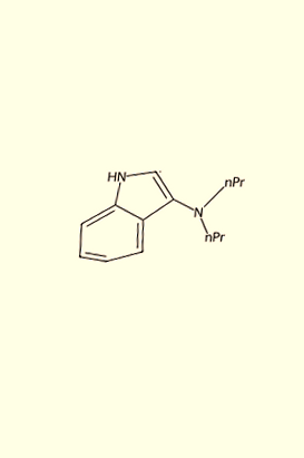 CCCN(CCC)c1[c][nH]c2ccccc12